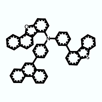 c1cc(-c2cccc3sc4ccccc4c23)cc(N(c2ccc(-c3cc4ccccc4c4ccccc34)cc2)c2cccc3oc4c5ccccc5ccc4c23)c1